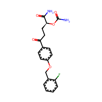 NC(=O)O[C@@H](CCC(=O)c1ccc(OCc2ccccc2F)cc1)C(N)=O